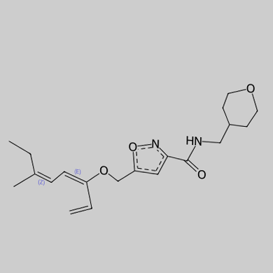 C=C/C(=C\C=C(\C)CC)OCc1cc(C(=O)NCC2CCOCC2)no1